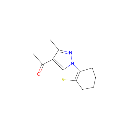 CC(=O)c1c(C)nn2c3c(sc12)CCCC3